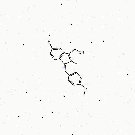 CSc1ccc(/C=C2\C(C)=C(CO)c3cc(F)ccc32)cc1